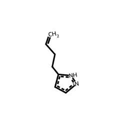 C=CCCc1ccn[nH]1